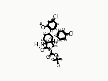 COc1cc(Cl)ccc1[C@@H]1CC[C@@]2(N)C(=O)N(C(=O)OC(C)(C)C)C[C@H]2[C@H]1c1ccc(Cl)cc1